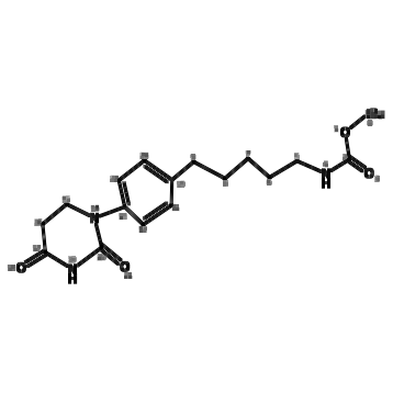 CC(C)(C)OC(=O)NCCCCCc1ccc(N2CCC(=O)NC2=O)cc1